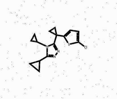 Clc1ccc(C2(c3nnc(C4CC4)n3C3CC3)CC2)s1